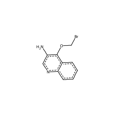 Nc1cnc2ccccc2c1OCBr